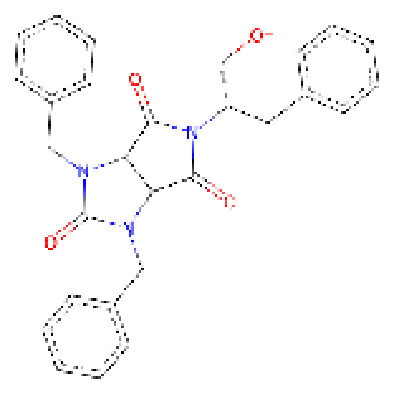 O=C1N(Cc2ccccc2)C2C(=O)N([C@H](CO)Cc3ccccc3)C(=O)C2N1Cc1ccccc1